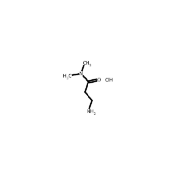 CN(C)C(=O)CCN.Cl